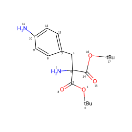 CC(C)(C)OC(=O)C(N)(Cc1ccc(N)cc1)C(=O)OC(C)(C)C